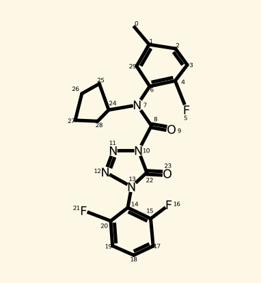 Cc1ccc(F)c(N(C(=O)n2nnn(-c3c(F)cccc3F)c2=O)C2CCCC2)c1